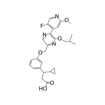 COc1cc(-c2ncc(COc3cccc(C(CC(=O)O)C4CC4)c3)nc2OCC(C)C)c(F)cn1